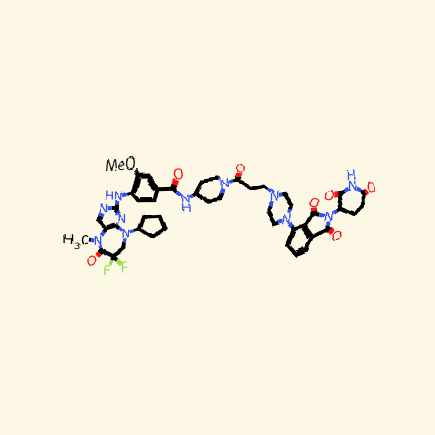 COc1cc(C(=O)NC2CCN(C(=O)CCN3CCN(c4cccc5c4C(=O)N(C4CCC(=O)NC4=O)C5=O)CC3)CC2)ccc1Nc1ncc2c(n1)N(C1CCCC1)CC(F)(F)C(=O)N2C